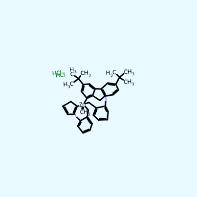 Cl.Cl.[CH2]=[Zr]([CH2]c1ccccc1I)([CH2]c1ccccc1I)([C]1=CC=CC1)[c]1cc(C(C)(C)C)cc2c1Cc1ccc(C(C)(C)C)cc1-2